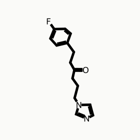 O=C(CCCn1ccnc1)CCc1ccc(F)cc1